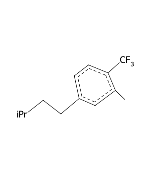 Cc1cc(CCC(C)C)ccc1C(F)(F)F